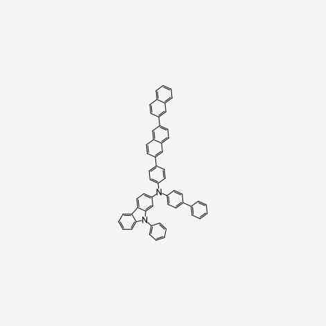 c1ccc(-c2ccc(N(c3ccc(-c4ccc5cc(-c6ccc7ccccc7c6)ccc5c4)cc3)c3ccc4c5ccccc5n(-c5ccccc5)c4c3)cc2)cc1